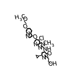 COCCOc1ccc2c(Oc3cnc4nc(Nc5cc(C6CC6)nn(CCO)c5=O)n(C)c4c3Cl)cnn2c1